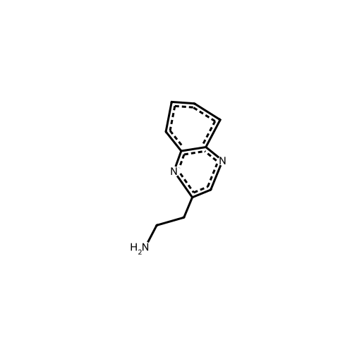 NCCc1cnc2ccccc2n1